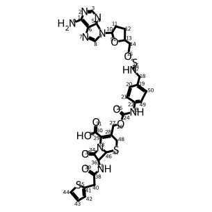 Nc1ncnc2c1ncn2C1CCC(COSNCc2ccc(NC(=O)OCC3=C(C(=O)O)N4C(=O)C(NC(=O)Cc5cccs5)C4SC3)cc2)O1